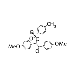 COc1ccc(C(=O)C(OS(=O)(=O)c2ccc(C)cc2)c2ccc(OC)cc2)cc1